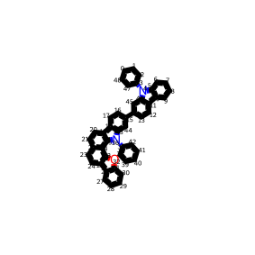 c1ccc(-n2c3ccccc3c3ccc(-c4ccc5c6ccc7ccc8c9ccccc9oc8c7c6n(-c6ccccc6)c5c4)cc32)cc1